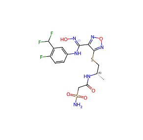 C[C@@H](CSc1nonc1/C(=N/O)Nc1ccc(F)c(C(F)F)c1)NC(=O)CS(N)(=O)=O